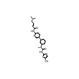 C[C@H](C(=O)Nc1ncc(C#N)s1)c1cccc(-c2ccc(NC(=O)/C=C/CN(C)C)nc2)c1